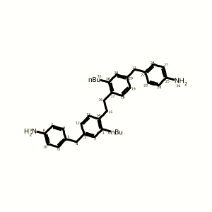 CCCCc1cc(Cc2ccc(N)cc2)ccc1CCc1ccc(Cc2ccc(N)cc2)cc1CCCC